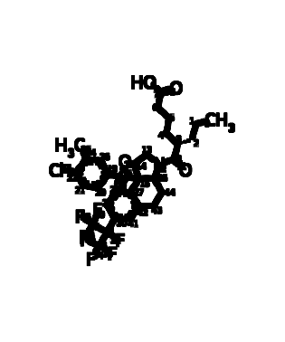 CCC[C@@H](CCCC(=O)O)C(=O)N1CCC2(S(=O)(=O)c3ccc(Cl)c(C)c3)c3ccc(C(F)(C(F)(F)F)C(F)(F)F)cc3CCC12